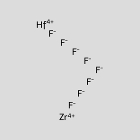 [F-].[F-].[F-].[F-].[F-].[F-].[F-].[F-].[Hf+4].[Zr+4]